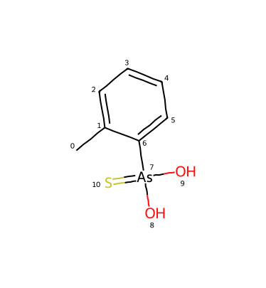 Cc1ccccc1[As](O)(O)=S